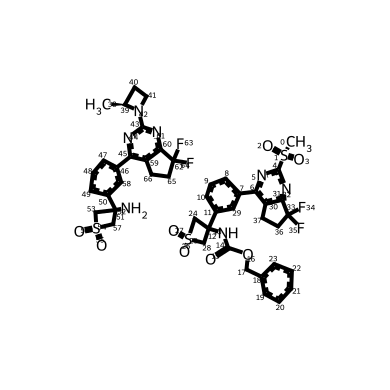 CS(=O)(=O)c1nc(-c2cccc(C3(NC(=O)OCc4ccccc4)CS(=O)(=O)C3)c2)c2c(n1)C(F)(F)CC2.C[C@H]1CCN1c1nc(-c2cccc(C3(N)CS(=O)(=O)C3)c2)c2c(n1)C(F)(F)CC2